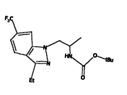 CCc1nn(CC(C)NC(=O)OC(C)(C)C)c2cc(C(F)(F)F)ccc12